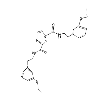 CCOc1cccc(CCNC(=O)c2ccnc(C(=O)NCCc3cccc(OCC)c3)c2)c1